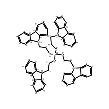 c1ccc2c(c1)c1ccccc1n2CC[O][Ti]([O]CCn1c2ccccc2c2ccccc21)([O]CCn1c2ccccc2c2ccccc21)[O]CCn1c2ccccc2c2ccccc21